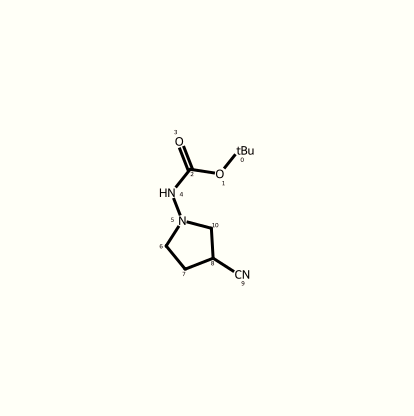 CC(C)(C)OC(=O)NN1CCC(C#N)C1